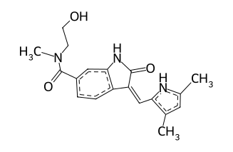 Cc1cc(C)c(/C=C2\C(=O)Nc3cc(C(=O)N(C)CCO)ccc32)[nH]1